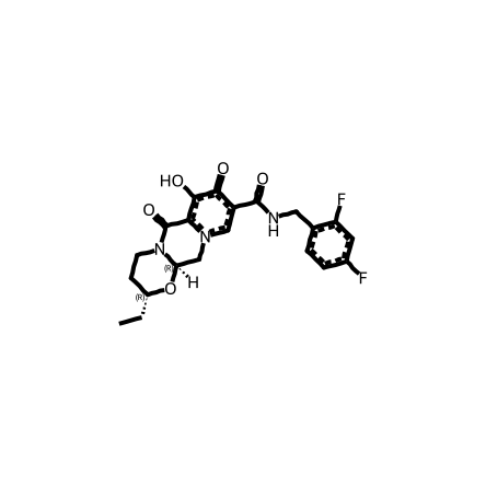 CC[C@@H]1CCN2C(=O)c3c(O)c(=O)c(C(=O)NCc4ccc(F)cc4F)cn3C[C@H]2O1